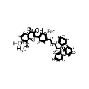 COc1c(O)ccc2c(=O)c(O)c(-c3ccc(CCCC[P+](c4ccccc4)(c4ccccc4)c4ccccc4)cc3)oc12.[Br-]